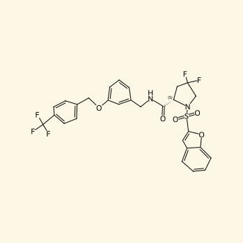 O=C(NCc1cccc(OCc2ccc(C(F)(F)F)cc2)c1)[C@@H]1CC(F)(F)CN1S(=O)(=O)c1cc2ccccc2o1